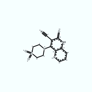 N#Cc1c(N2CCS(=O)(=O)CC2)c2ncccc2[nH]c1=O